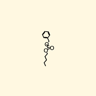 CCCCCOS(=O)OCc1ccccc1